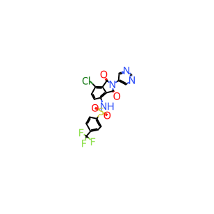 O=C1c2c(Cl)ccc(NS(=O)(=O)c3ccc(C(F)(F)F)cc3)c2C(=O)N1c1cncnc1